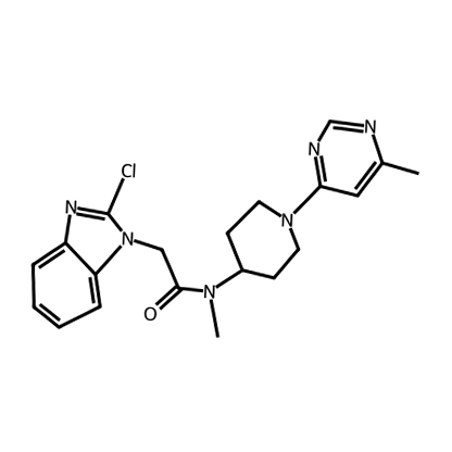 Cc1cc(N2CCC(N(C)C(=O)Cn3c(Cl)nc4ccccc43)CC2)ncn1